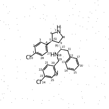 Clc1ccc([C@H]2CNC[C@@H]2C(Cc2ccccc2)NCc2ccc(Cl)cn2)cc1